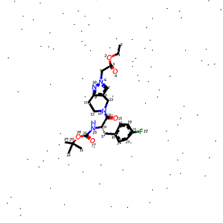 CCOC(=O)Cn1cc2c(n1)CCN(C(=O)[C@H](Cc1ccc(F)cc1)NC(=O)OC(C)(C)C)C2